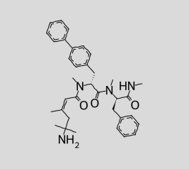 CNC(=O)[C@@H](Cc1ccccc1)N(C)C(=O)[C@@H](Cc1ccc(-c2ccccc2)cc1)N(C)C(=O)C=C(C)CC(C)(C)N